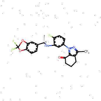 C[C@H](Nc1cc(-n2nc(C(F)(F)F)c3c2C(=O)CCC3)ccc1F)c1ccc2c(c1)OC(F)(F)O2